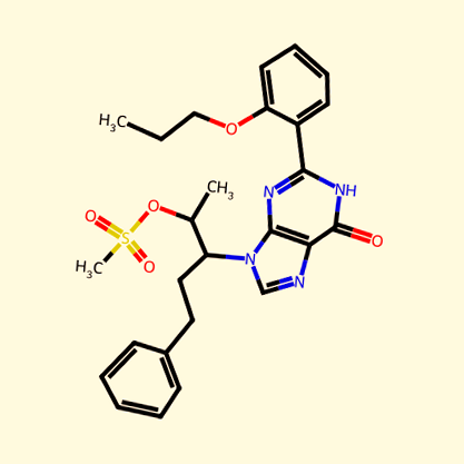 CCCOc1ccccc1-c1nc2c(ncn2C(CCc2ccccc2)C(C)OS(C)(=O)=O)c(=O)[nH]1